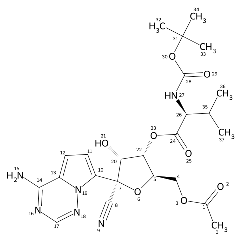 CC(=O)OC[C@H]1O[C@@](C#N)(c2ccc3c(N)ncnn23)[C@H](O)[C@@H]1OC(=O)[C@@H](NC(=O)OC(C)(C)C)C(C)C